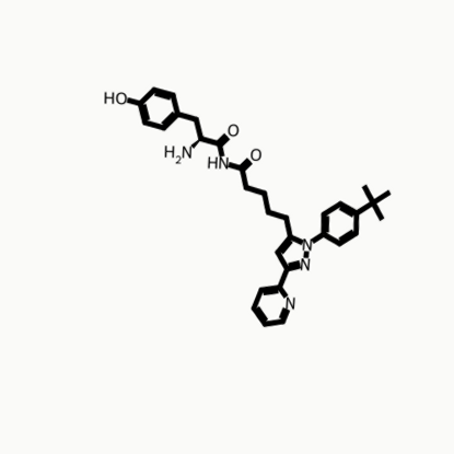 CC(C)(C)c1ccc(-n2nc(-c3ccccn3)cc2CCCCC(=O)NC(=O)[C@@H](N)Cc2ccc(O)cc2)cc1